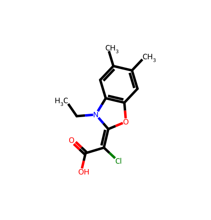 CCN1C(=C(Cl)C(=O)O)Oc2cc(C)c(C)cc21